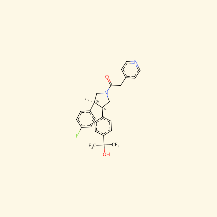 C[C@]1(c2ccc(F)cc2)CN(C(=O)Cc2ccncc2)C[C@H]1c1ccc(C(O)(C(F)(F)F)C(F)(F)F)cc1